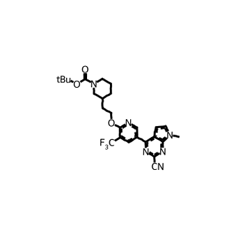 Cn1ccc2c(-c3cnc(OCCC4CCCN(C(=O)OC(C)(C)C)C4)c(C(F)(F)F)c3)nc(C#N)nc21